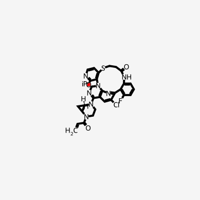 C=CC(=O)N1CCN(c2nc(=O)n3c4nc(c(Cl)cc24)-c2c(F)cccc2NC(=O)CCSc2ccnc(C(C)C)c2-3)[C@@H]2C[C@@H]21